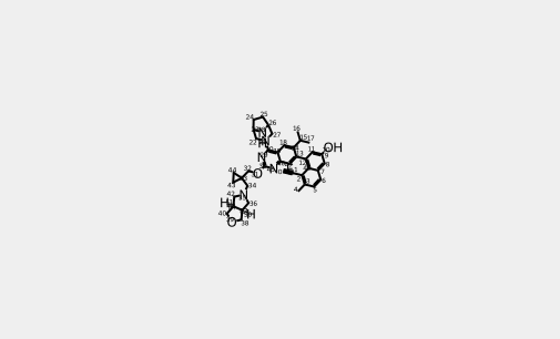 C#Cc1c(C)ccc2cc(O)cc(-c3c(C(C)C)cc4c(N5CC6CCC(C5)N6)nc(OCC5(CN6C[C@H]7COC[C@H]7C6)CC5)nc4c3F)c12